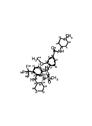 COc1cc(C(=O)NC2CCN(C)CC2)ccc1Nc1ncc(C(F)(F)F)c(NC2CCCC[C@H]2NS(C)(=O)=O)n1